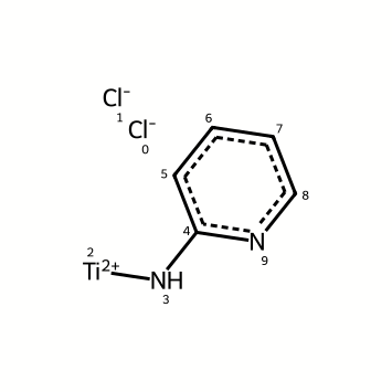 [Cl-].[Cl-].[Ti+2][NH]c1ccccn1